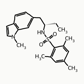 CC[C@@H](Cc1ccc2ccn(C)c2c1)NS(=O)(=O)c1c(C)cc(C)cc1C